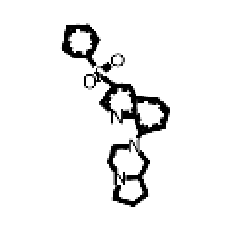 O=S(=O)(c1ccccc1)c1cnc2c(N3CCN4CCCC4C3)cccc2c1